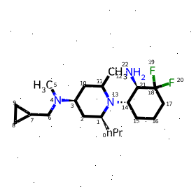 CCC[C@H]1C[C@@H](N(C)CC2CC2)CC(C)N1[C@H]1CCCC(F)(F)[C@@H]1N